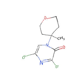 CC1(n2cc(Cl)nc(Cl)c2=O)CCOCC1